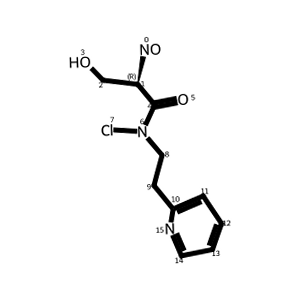 O=N[C@H](CO)C(=O)N(Cl)CCc1ccccn1